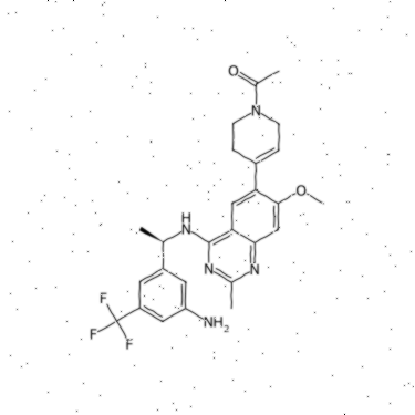 COc1cc2nc(C)nc(N[C@H](C)c3cc(N)cc(C(F)(F)F)c3)c2cc1C1=CCN(C(C)=O)CC1